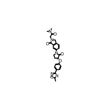 Cc1nc(-c2ccc(O[C@@H]3CCN(c4ccc5c(c4)C(=O)N(CC(=O)N(C)C)C5)C3=O)cc2)no1